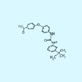 CC(=O)c1ccc(Oc2ccc(NC(=O)Nc3cccc(C(C)(C)C)c3)cc2)cc1